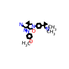 COc1ccc(-n2nc(C#N)c3c2C(=O)N(c2ccc(C4(CN(C)C)CC4)cc2)CC32CC2)cc1